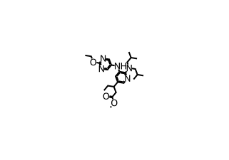 CCOc1ncc(Nc2cc(C(CC)CC(=O)OC)cnc2N(CC(C)C)CC(C)C)cn1